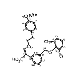 COc1ccc(CCOC=C(C(=O)O)c2cccc(CSc3c(Cl)cccc3Cl)n2)cc1